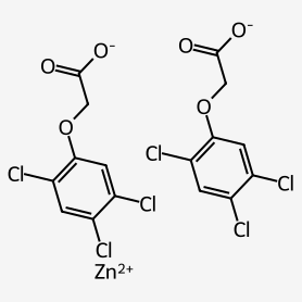 O=C([O-])COc1cc(Cl)c(Cl)cc1Cl.O=C([O-])COc1cc(Cl)c(Cl)cc1Cl.[Zn+2]